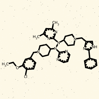 CCOc1cc(CN2CCC(N(c3ncccn3)N(c3nc(C)cc(C)n3)C3CCN(Cc4c[nH]c(-c5ccccc5)n4)CC3)CC2)ccc1Cl